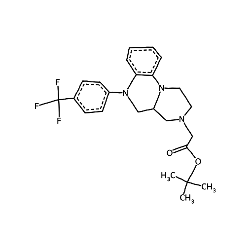 CC(C)(C)OC(=O)CN1CCN2c3ccccc3N(c3ccc(C(F)(F)F)cc3)CC2C1